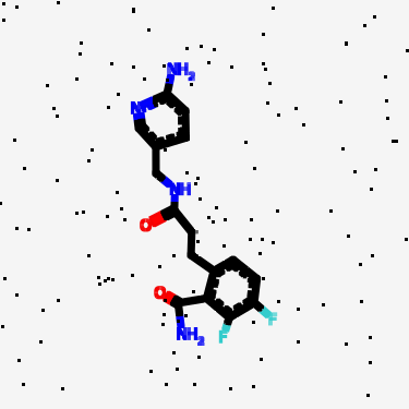 NC(=O)c1c(C[CH]C(=O)NCc2ccc(N)nc2)ccc(F)c1F